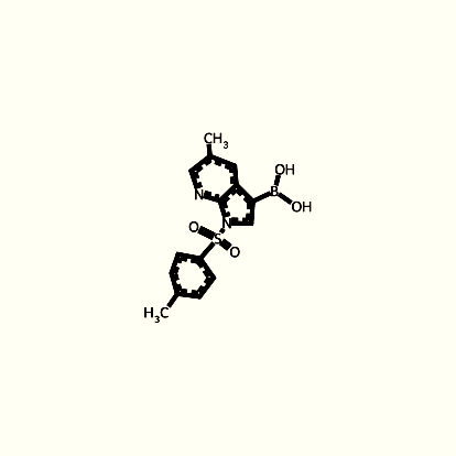 Cc1ccc(S(=O)(=O)n2cc(B(O)O)c3cc(C)cnc32)cc1